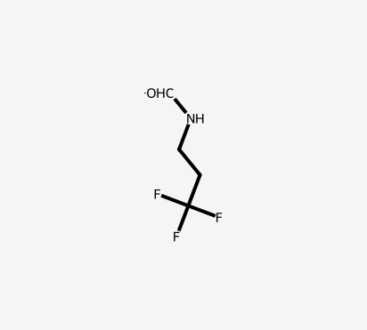 O=[C]NCCC(F)(F)F